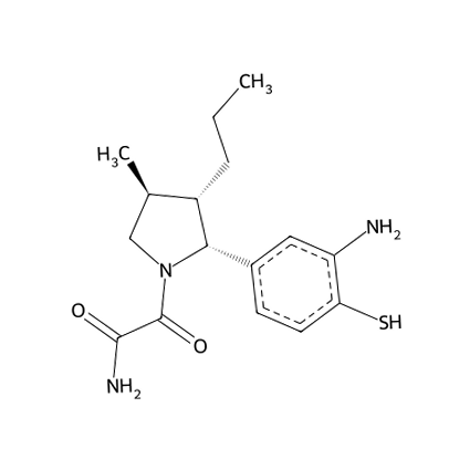 CCC[C@H]1[C@H](C)CN(C(=O)C(N)=O)[C@H]1c1ccc(S)c(N)c1